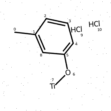 Cc1cccc([O][Ti])c1.Cl.Cl